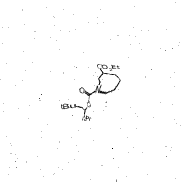 CCCC(OC(=O)N1CCCCC(C(=O)OCC)C1)C(C)(C)C